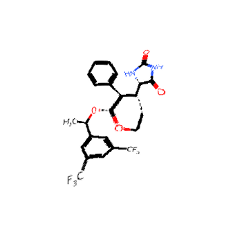 C[C@@H](O[C@H]1OCC[C@@H]([C@@H]2NC(=O)NC2=O)[C@@H]1c1ccccc1)c1cc(C(F)(F)F)cc(C(F)(F)F)c1